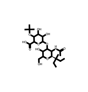 CCC(C)(CC)[C@H]1OC(CO)C(O)C(OC2OC(C(=O)O)C(OC(C)(C)C)C(O)C2O)C1NC(C)=O